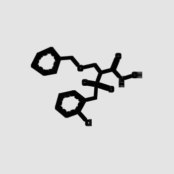 O=C(NO)C(COCc1ccccc1)S(=O)(=O)Cc1ccccc1Cl